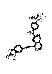 C[S@@](=N)(=O)c1ccc(Nc2cc3c(C#Cc4ccc5oc(=O)[nH]c5c4)nccc3cn2)cc1